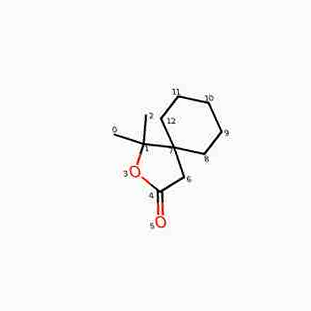 CC1(C)OC(=O)CC12CCCCC2